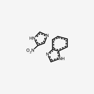 O=[N+]([O-])c1cnc[nH]1.c1ccc2[nH]cnc2c1